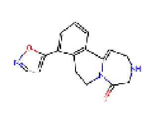 O=C1CNCC=C2c3cccc(-c4ccno4)c3CCN12